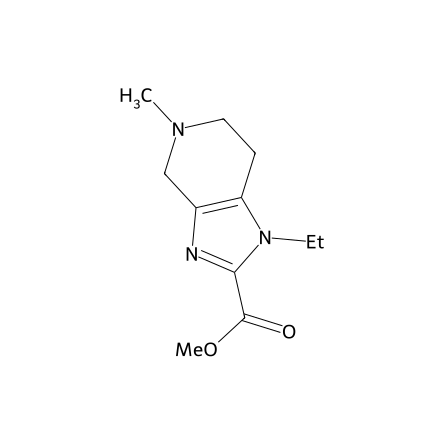 CCn1c(C(=O)OC)nc2c1CCN(C)C2